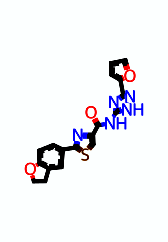 O=C(Nc1nc(-c2ccco2)n[nH]1)c1csc(-c2ccc3c(c2)CCO3)n1